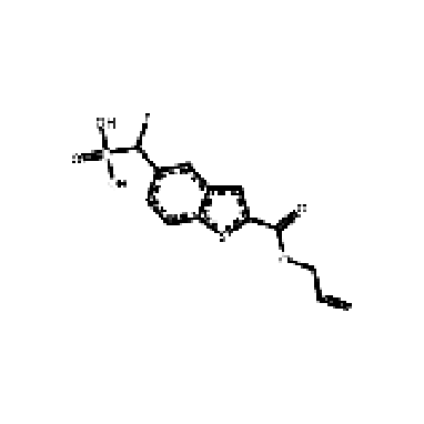 C=CCOC(=O)c1cc2cc(C(F)P(=O)(O)O)ccc2s1